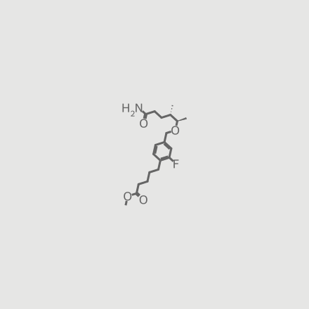 COC(=O)CCCCc1ccc(CO[C@H](C)[C@@H](C)CCC(N)=O)cc1F